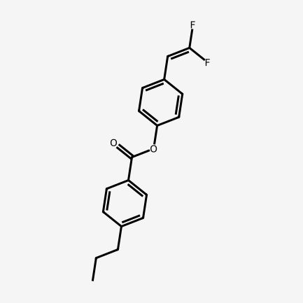 CCCc1ccc(C(=O)Oc2ccc(C=C(F)F)cc2)cc1